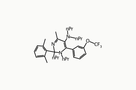 CCCN(CCC)C1=C(c2cccc(OC(F)(F)F)c2)N(CCC)C(CCC)(c2c(C)cccc2C)N=C1C